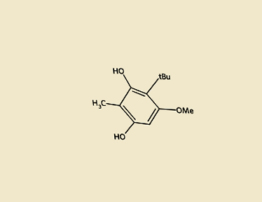 COc1cc(O)c(C)c(O)c1C(C)(C)C